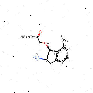 COC(=O)COC1c2c(cccc2OC)CC1N